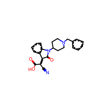 N#CC(C(=O)O)=C1C(=O)N(C2CCN(Cc3ccccc3)CC2)c2ccccc21